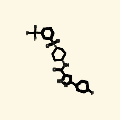 O=C(N[C@H]1CC[C@@H](S(=O)(=O)c2cccc(C(F)(F)F)c2)CC1)c1cc(-c2ccc(F)cc2)n[nH]1